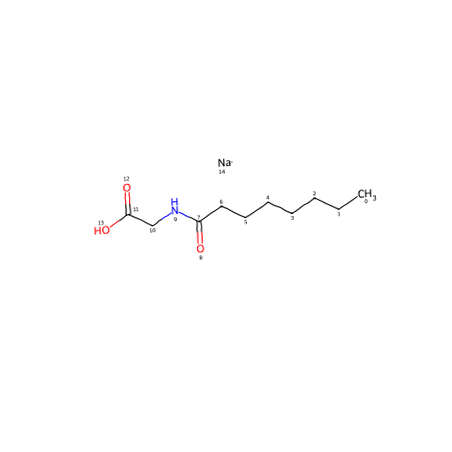 CCCCCCCC(=O)NCC(=O)O.[Na]